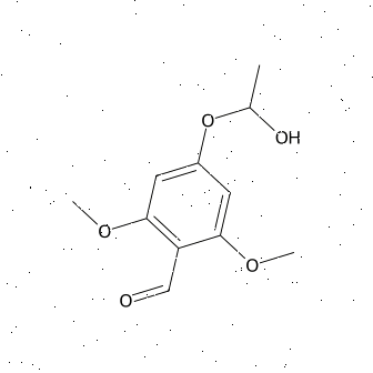 COc1cc(OC(C)O)cc(OC)c1C=O